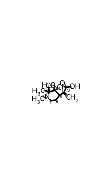 C=C(C(=O)O)C1CCN(C)C(C)(C)C1(C)C